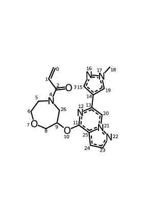 C=CC(=O)N1CCOCC(Oc2nc(-c3cnn(C)c3)cn3nccc23)C1